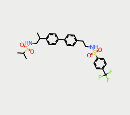 CC(CNS(=O)(=O)C(C)C)c1ccc(-c2ccc(CCNS(=O)(=O)c3ccc(C(F)(F)F)cc3)cc2)cc1